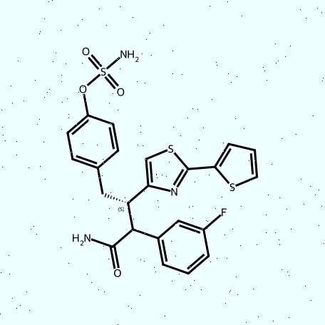 NC(=O)C(c1cccc(F)c1)[C@H](Cc1ccc(OS(N)(=O)=O)cc1)c1csc(-c2cccs2)n1